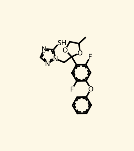 CC1COC(Cn2ncnc2S)(c2cc(F)c(Oc3ccccc3)cc2F)O1